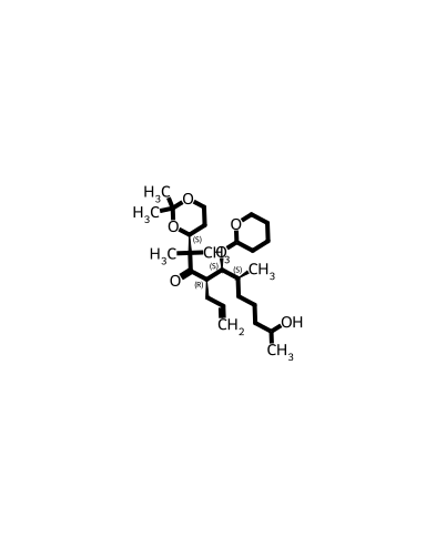 C=CC[C@@H](C(=O)C(C)(C)[C@@H]1CCOC(C)(C)O1)[C@@H](OC1CCCCO1)[C@@H](C)CCCC(C)O